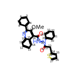 COc1c(-c2ccccc2)nc2ccccc2c1C(=O)NN(C(=O)Cc1cccs1)c1ccccc1